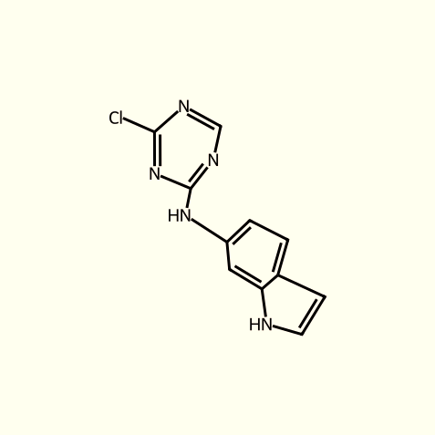 Clc1ncnc(Nc2ccc3cc[nH]c3c2)n1